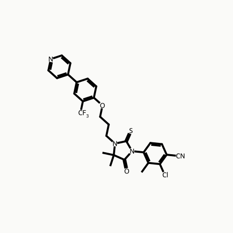 Cc1c(N2C(=O)C(C)(C)N(CCCOc3ccc(-c4ccncc4)cc3C(F)(F)F)C2=S)ccc(C#N)c1Cl